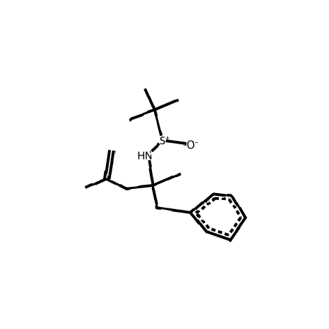 C=C(C)CC(C)(Cc1ccccc1)N[S+]([O-])C(C)(C)C